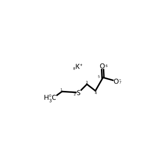 CCSCCC(=O)[O-].[K+]